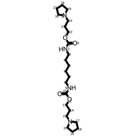 O=C(NCCCCCCNC(=O)OCCCN1CCCC1)OCCCN1CCCC1